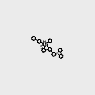 c1ccc(-c2ccc(-c3nc(-c4ccccc4)nc4c3sc3cccc(-c5cccc(-c6cccc(-n7c8ccccc8c8ccccc87)c6)c5)c34)cc2)cc1